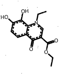 CCOC(=O)c1cn(CC)c2c(O)c(O)ccc2c1=O